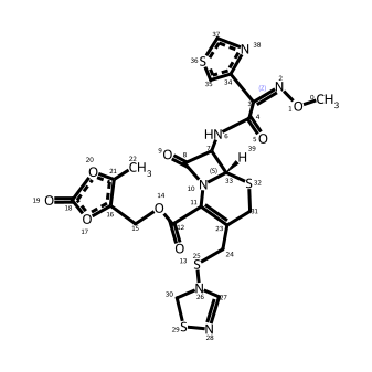 CO/N=C(\C(=O)NC1C(=O)N2C(C(=O)OCc3oc(=O)oc3C)=C(CSN3C=NSC3)CS[C@@H]12)c1cscn1